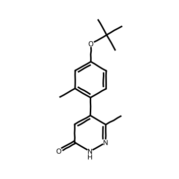 Cc1cc(OC(C)(C)C)ccc1-c1cc(=O)[nH]nc1C